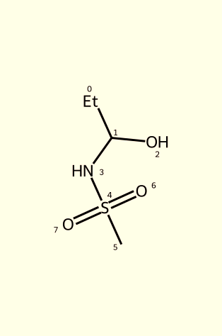 CCC(O)NS(C)(=O)=O